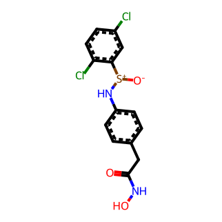 O=C(Cc1ccc(N[S+]([O-])c2cc(Cl)ccc2Cl)cc1)NO